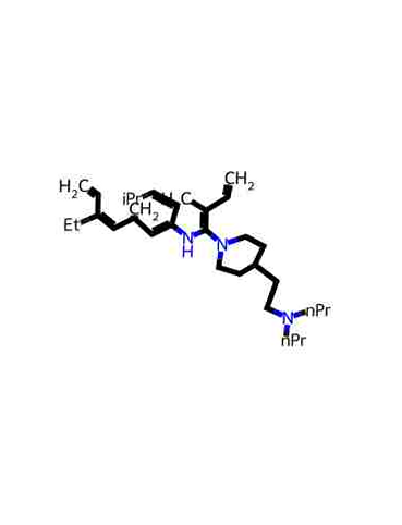 C=C/C(=C\C(=C)/C=C(\C=C/C(C)C)N/C(=C(\C)C=C)N1CCC(CCN(CCC)CCC)CC1)CC